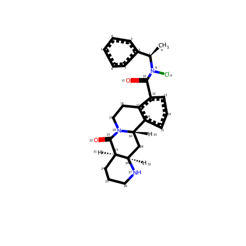 C[C@H](c1ccccc1)N(Cl)C(=O)c1cccc2c1CCN1C(=O)[C@@H]3CCCN[C@@H]3C[C@@H]21